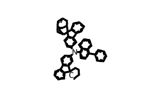 c1ccc(-c2ccc(N(c3ccc4c(c3)-c3ccccc3C43C4CCC5CC(C4)CC3C5)c3ccc4c(c3)C3(CCCCC3)c3ccccc3-4)c3ccccc23)cc1